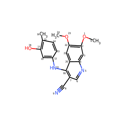 COc1cc2ncc(C#N)c(Nc3ccc(C)c(O)c3)c2cc1OC